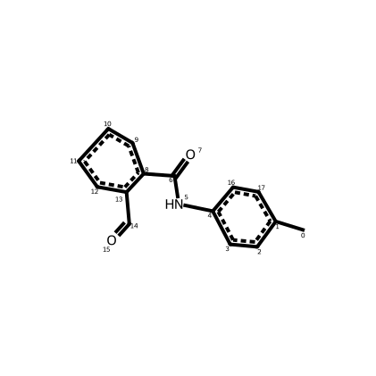 Cc1ccc(NC(=O)c2ccccc2C=O)cc1